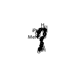 CNC(=O)COc1cc2cc(Nc3nc(N4CCC(OC5CCC6(CCN(c7ccc8c(c7)CN(C7CCC(=O)NC7=O)C8=O)C6)C5)CC4)ncc3Cl)ccc2n(C(C)C)c1=O